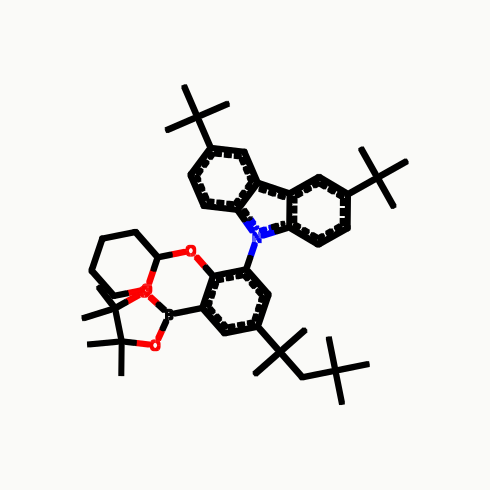 CC(C)(C)CC(C)(C)c1cc(B2OC(C)(C)C(C)(C)O2)c(OC2CCCCO2)c(-n2c3ccc(C(C)(C)C)cc3c3cc(C(C)(C)C)ccc32)c1